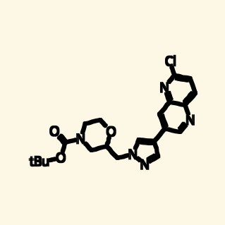 CC(C)(C)OC(=O)N1CCOC(Cn2cc(-c3cnc4ccc(Cl)nc4c3)cn2)C1